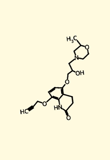 C#CCOc1ccc(OCC(O)CN2CCOC(C)C2)c2c1NC(=O)CC2